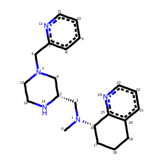 CN(C[C@H]1CN(Cc2ccccn2)CCN1)[C@H]1CCCc2cccnc21